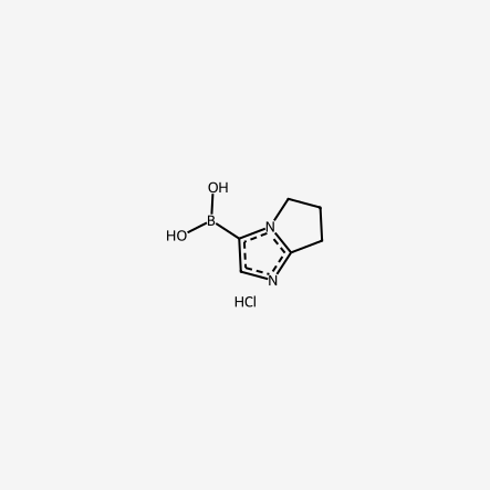 Cl.OB(O)c1cnc2n1CCC2